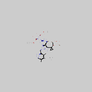 COc1c(C)cnc(Cn2nc3c4c(nc(N(C(=O)OC(C)C)C(=O)OC(C)(C)C)nc42)SCC(OS(C)(=O)=O)C32CC2)c1C